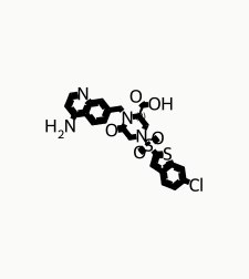 Nc1ccnc2cc(CN3C(=O)CN(S(=O)(=O)c4cc5ccc(Cl)cc5s4)C[C@@H]3C(=O)O)ccc12